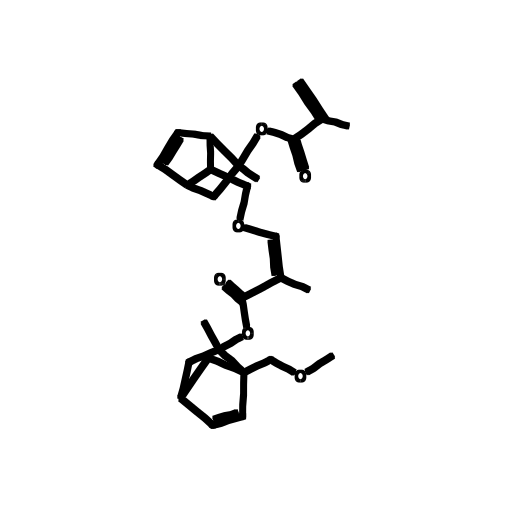 C=C(C)C(=O)OC1(C)CC2C=CC1C2CO/C=C(/C)C(=O)OC1(C)CC2C=CC1(COC)C2